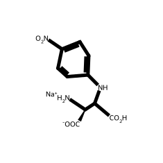 N[C@H](C(=O)[O-])C(Nc1ccc([N+](=O)[O-])cc1)C(=O)O.[Na+]